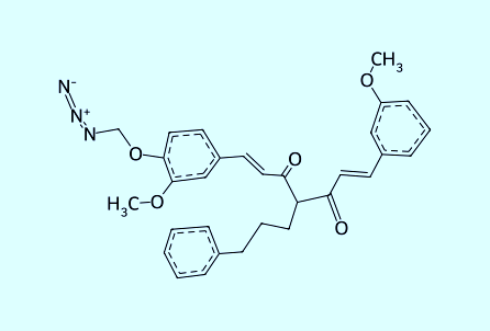 COc1cccc(/C=C/C(=O)C(CCCc2ccccc2)C(=O)/C=C/c2ccc(OCN=[N+]=[N-])c(OC)c2)c1